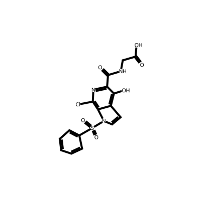 O=C(O)CNC(=O)c1nc(Cl)c2c(ccn2S(=O)(=O)c2ccccc2)c1O